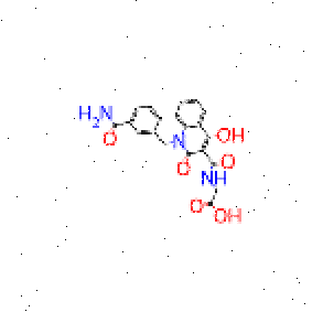 NC(=O)c1cccc(Cn2c(=O)c(C(=O)NCC(=O)O)c(O)c3ccccc32)c1